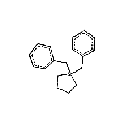 c1ccc(C[Si]2(Cc3ccccc3)CCCC2)cc1